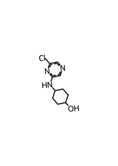 OC1CCC(Nc2cncc(Cl)n2)CC1